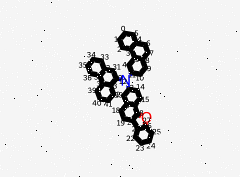 c1ccc2c(c1)ccc1ccc(N(c3ccc4c(ccc5c6ccccc6oc45)c3)c3cc4ccccc4c4ccccc34)cc12